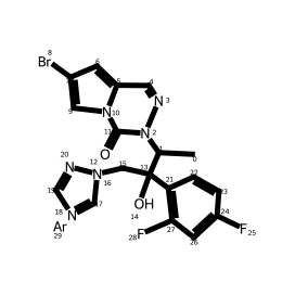 CC(n1ncc2cc(Br)cn2c1=O)C(O)(Cn1cncn1)c1ccc(F)cc1F.[Ar]